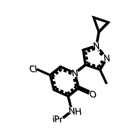 Cc1nn(C2CC2)cc1-n1cc(Cl)cc(NC(C)C)c1=O